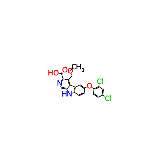 COCc1c(C(=O)O)ncc2[nH]c3ccc(Oc4ccc(Cl)cc4Cl)cc3c12